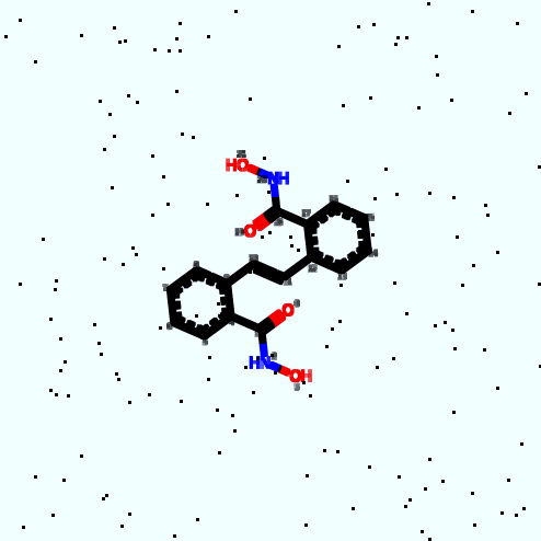 O=C(NO)c1ccccc1C=Cc1ccccc1C(=O)NO